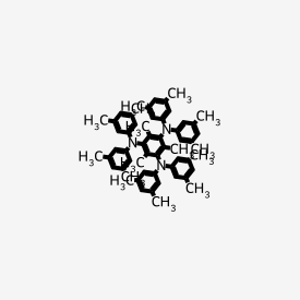 Cc1cc(C)cc(N(c2cc(C)cc(C)c2)c2c(C)c(N(c3cc(C)cc(C)c3)c3cc(C)cc(C)c3)c(C)c(N(c3cc(C)cc(C)c3)c3cc(C)cc(C)c3)c2C)c1